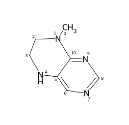 CN1CCNc2cncnc21